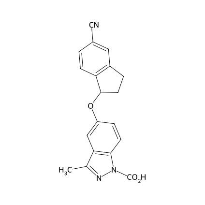 Cc1nn(C(=O)O)c2ccc(OC3CCc4cc(C#N)ccc43)cc12